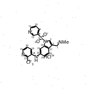 CNCc1cn(S(=O)(=O)c2cccnc2)c2cc(Nc3cccnc3C(F)(F)F)ccc12.Cl